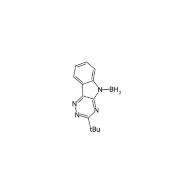 Bn1c2ccccc2c2nnc(C(C)(C)C)nc21